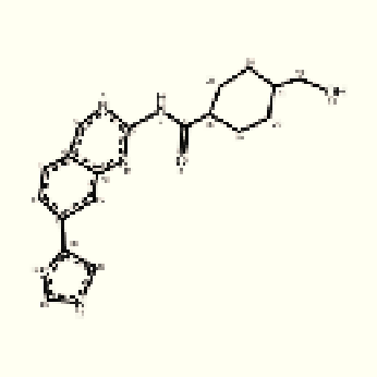 O=C(Nc1ncc2ccc(-c3cncs3)cc2n1)C1CCC(CO)CC1